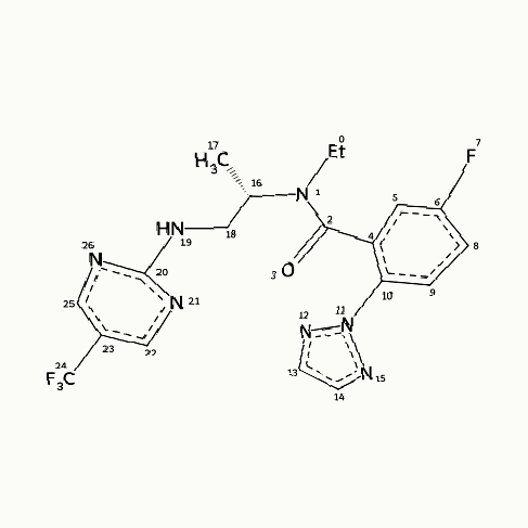 CCN(C(=O)c1cc(F)ccc1-n1nccn1)[C@@H](C)CNc1ncc(C(F)(F)F)cn1